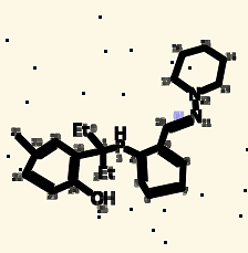 CCC(CC)(Pc1ccccc1/C=N/N1CCCCC1)c1cc(C)ccc1O